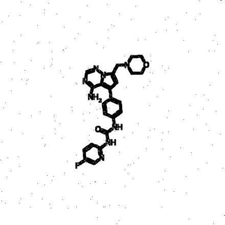 Nc1ncnn2c(CN3CCOCC3)cc(-c3ccc(NC(=O)Nc4ccc(F)cn4)cc3)c12